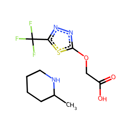 CC1CCCCN1.O=C(O)COc1nnc(C(F)(F)F)s1